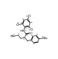 CCCCc1ccc(CN(CCC(C)(C)C)C(=O)Nc2c(Cl)cc(Cl)cc2Cl)cc1